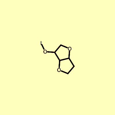 IOC1COC2CCOC12